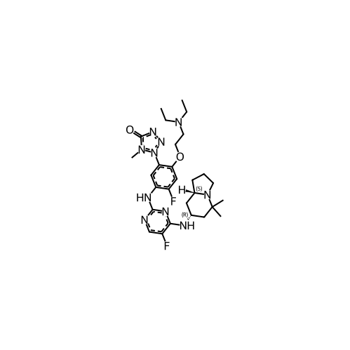 CCN(CC)CCOc1cc(F)c(Nc2ncc(F)c(N[C@@H]3C[C@@H]4CCCN4C(C)(C)C3)n2)cc1-n1nnc(=O)n1C